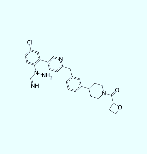 N=CN(N)c1ccc(Cl)cc1-c1ccc(Cc2cccc(C3CCN(C(=O)C4CCO4)CC3)c2)nc1